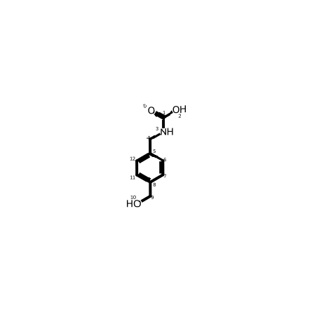 O=C(O)NCc1ccc(CO)cc1